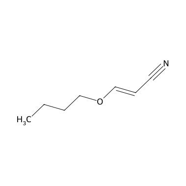 CCCCOC=CC#N